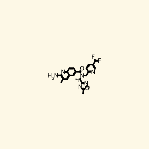 Cc1nc([C@@H](C)N(Cc2ccc(C(F)F)cn2)C(=O)c2ccc3nc(N)c(C)cc3c2)no1